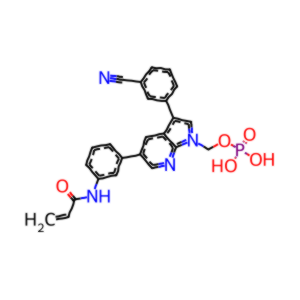 C=CC(=O)Nc1cccc(-c2cnc3c(c2)c(-c2cccc(C#N)c2)cn3COP(=O)(O)O)c1